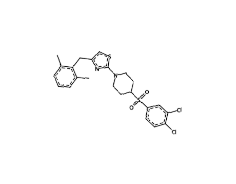 Cc1cccc(C)c1Cc1csc(N2CCC(S(=O)(=O)c3ccc(Cl)c(Cl)c3)CC2)n1